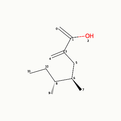 C=C(O)C(=C)C[C@@H](C)[C@H](C)CC